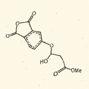 COC(=O)CC(O)Oc1ccc2c(c1)C(=O)OC2=O